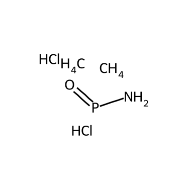 C.C.Cl.Cl.NP=O